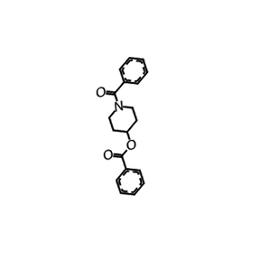 O=C(OC1CCN(C(=O)c2ccccc2)CC1)c1ccccc1